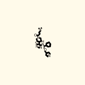 CN(C)C/C=C/C(=O)N1CCc2c(sc3ncnc(N[C@H](COCc4ccncc4)c4ccccc4)c23)C1